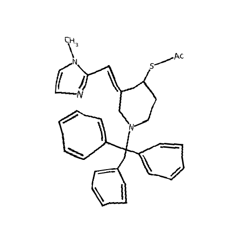 CC(=O)SC1CCN(C(c2ccccc2)(c2ccccc2)c2ccccc2)C/C1=C\c1nccn1C